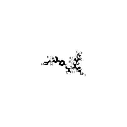 C[n+]1ccc(-c2ccc(OCC(O/N=C(\C(=O)N[C@@H]3C(=O)N(OS(=O)(=O)[O-])C3(C)C)c3csc(N)n3)C(=O)O)cc2)cc1NCC1CNC1